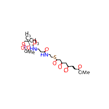 COC(=O)/C=C/C(=O)CC(=O)CC(=O)SCCNC(=O)CCNC(=O)[C@@H]1OP(=O)(OC)OCC1(C)C